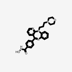 O=C(NO)c1ccc(C2=Nc3ccccc3N(CCCN3CCOCC3)c3ncccc32)cc1